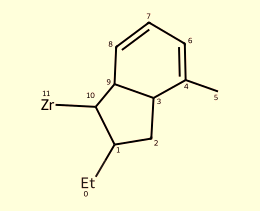 CCC1CC2C(C)=CC=CC2[CH]1[Zr]